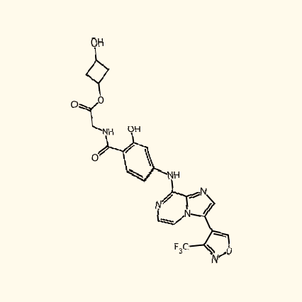 O=C(CNC(=O)c1ccc(Nc2nccn3c(-c4conc4C(F)(F)F)cnc23)cc1O)OC1CC(O)C1